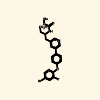 CCOC(=O)CC(Cc1cncc(-c2ccc(Oc3ncc(Br)cc3F)cc2)n1)NC(=O)OC(C)(C)C